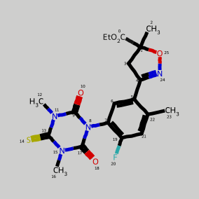 CCOC(=O)C1(C)CC(c2cc(-n3c(=O)n(C)c(=S)n(C)c3=O)c(F)cc2C)=NO1